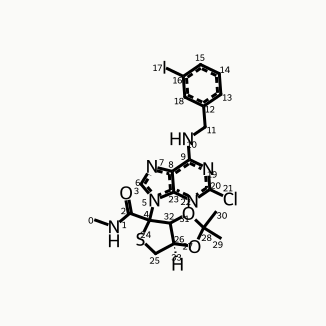 CNC(=O)C1(n2cnc3c(NCc4cccc(I)c4)nc(Cl)nc32)SC[C@@H]2OC(C)(C)OC21